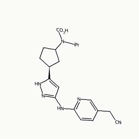 CC(C)N(C(=O)O)C1CC[C@H](c2cc(Nc3ccc(CC#N)cn3)n[nH]2)C1